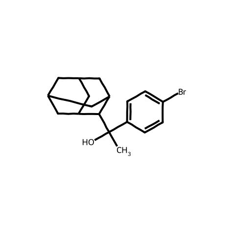 CC(O)(c1ccc(Br)cc1)C1C2CC3CC(C2)CC1C3